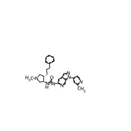 Cc1cc(-n2ncc3cc(NC(=O)N[C@H]4CN(C)C[C@@H]4CCCc4ccccc4)ncc32)ccn1